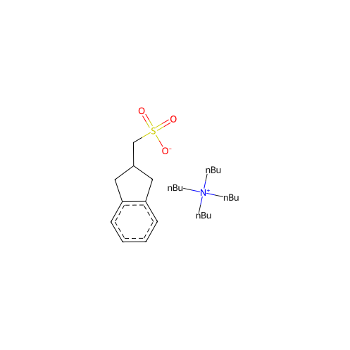 CCCC[N+](CCCC)(CCCC)CCCC.O=S(=O)([O-])CC1Cc2ccccc2C1